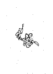 COc1cc(OC)c2c(c1)OC(c1cc(OC)c(OC)c(OC)c1)=C(OCCCCN1CCN(C(=O)c3ccc(F)cc3F)CC1)C2C=O